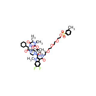 Cc1cccc(S(=O)(=O)OCCOCCOCCOCCNC(=O)c2c(C(=O)N3CCN(C(=O)[C@@H](NC(=O)[C@H](C)N(C)C(=O)OC(C)(C)C)C4CCCCC4)CC3)n(C)c3cc(F)c(F)cc23)c1